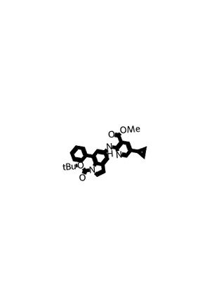 COC(=O)c1cc(C2CC2)cnc1Nc1cc(-c2ccccc2)c2c(ccn2C(=O)OC(C)(C)C)c1